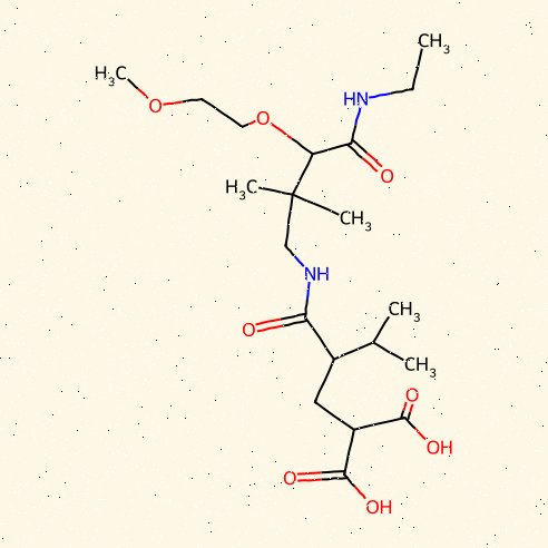 CCNC(=O)C(OCCOC)C(C)(C)CNC(=O)C(CC(C(=O)O)C(=O)O)C(C)C